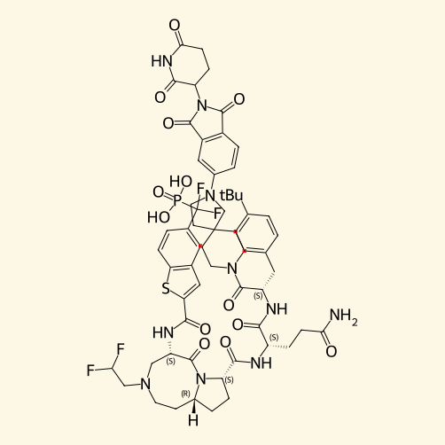 CC(C)(C)c1ccc(C[C@H](NC(=O)[C@H](CCC(N)=O)NC(=O)[C@@H]2CC[C@@H]3CCN(CC(F)F)C[C@H](NC(=O)c4cc5cc(C(F)(F)P(=O)(O)O)ccc5s4)C(=O)N32)C(=O)N2CCC3(CC2)CCN(c2ccc4c(c2)C(=O)N(C2CCC(=O)NC2=O)C4=O)C3)cc1